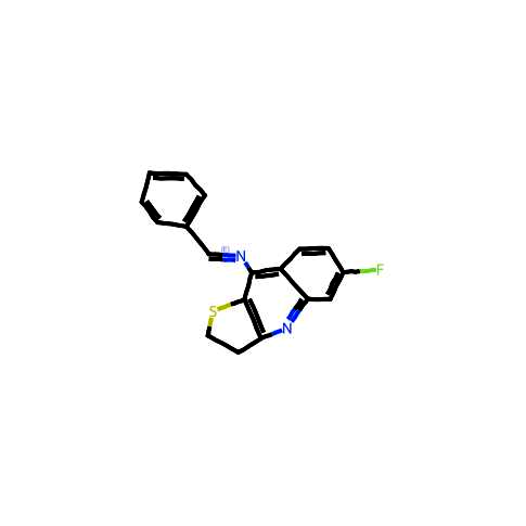 Fc1ccc2c(/N=C/c3ccccc3)c3c(nc2c1)CCS3